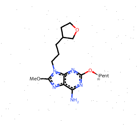 CCC[C@H](C)Oc1nc(N)c2nc(OC)n(CCCC3CCOC3)c2n1